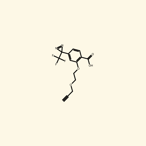 C#CCOCCOc1cc(C2(C(F)(F)F)N=N2)ccc1C(=O)O